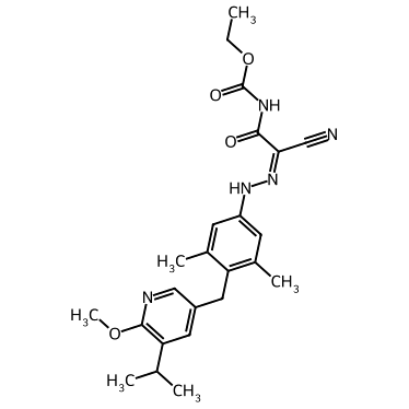 CCOC(=O)NC(=O)C(C#N)=NNc1cc(C)c(Cc2cnc(OC)c(C(C)C)c2)c(C)c1